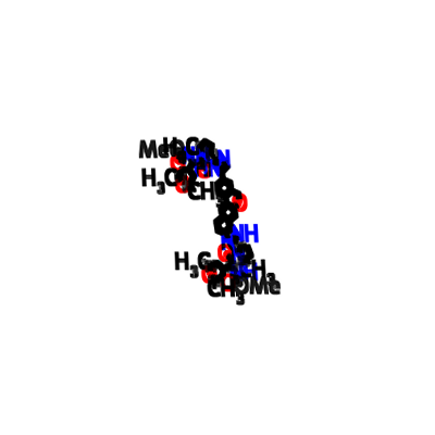 COC(=O)NC(C(=O)N1[C@@H](C)CC[C@H]1c1ncc(-c2ccc3c(c2)COc2cc4c(ccc5nc([C@@H]6CC[C@H](C)N6C(=O)[C@@H](NC(=O)OC)C6C[C@@H](C)O[C@H](C)C6)[nH]c54)cc2-3)[nH]1)C1C[C@@H](C)O[C@H](C)C1